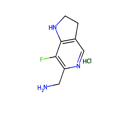 Cl.NCc1ncc2c(c1F)NCC2